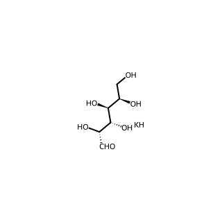 O=C[C@H](O)[C@@H](O)[C@@H](O)[C@H](O)CO.[KH]